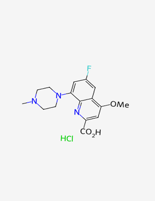 COc1cc(C(=O)O)nc2c(N3CCN(C)CC3)cc(F)cc12.Cl